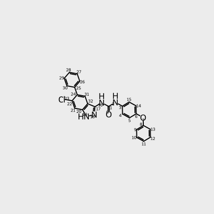 O=C(Nc1ccc(Oc2ccccc2)cc1)Nc1n[nH]c2cc(Cl)c(-c3ccccc3)cc12